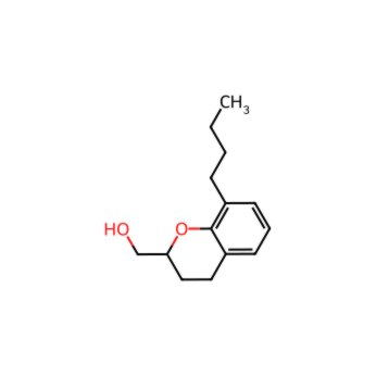 CCCCc1cccc2c1OC(CO)CC2